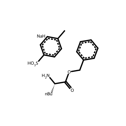 CCCC[C@H](N)C(=O)OCc1ccccc1.Cc1ccc(S(=O)(=O)O)cc1.[NaH]